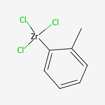 Cc1cccc[c]1[Zr]([Cl])([Cl])[Cl]